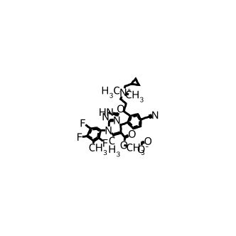 COC(=O)C1=C(C)N(c2cc(F)c(F)c(C)c2F)c2n[nH]c(=O)n2C1c1ccc(C#N)cc1CCC[N+](C)(C)CC1CC1.O=C[O-]